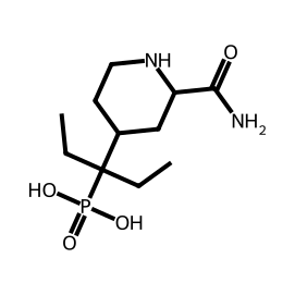 CCC(CC)(C1CCNC(C(N)=O)C1)P(=O)(O)O